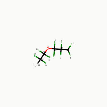 FC(F)C(F)(F)C(F)(F)OC(F)(F)C(F)(F)C(F)(F)F